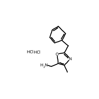 Cc1nc(Cc2ccccc2)oc1CN.Cl.Cl